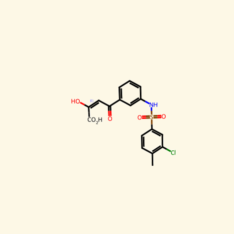 Cc1ccc(S(=O)(=O)Nc2cccc(C(=O)/C=C(/O)C(=O)O)c2)cc1Cl